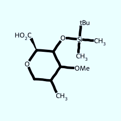 COC1C(C)CO[C@@H](C(=O)O)C1O[Si](C)(C)C(C)(C)C